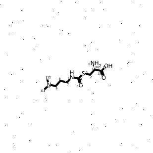 N[C@@H](CSC(=O)NCCCN(I)I)C(=O)O